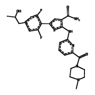 CC(O)Cc1cc(F)c(-c2cc(C(N)=O)c(Nc3cccc(C(=O)N4CCN(C)CC4)n3)s2)c(F)c1